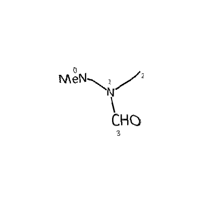 CNN(C)C=O